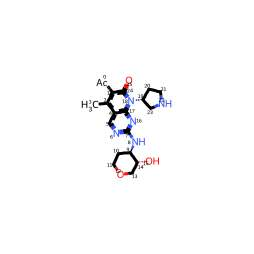 CC(=O)c1c(C)c2cnc(N[C@@H]3CCOC[C@H]3O)nc2n([C@@H]2CCNC2)c1=O